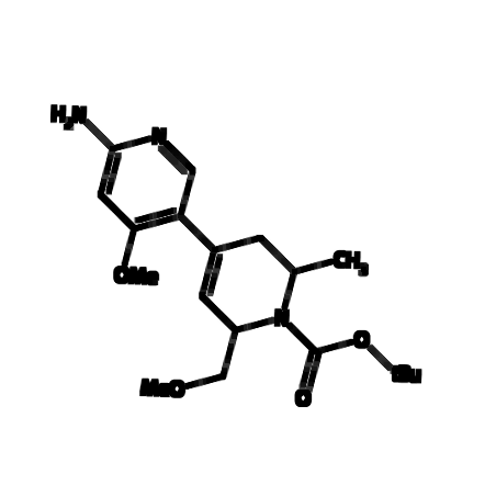 COCC1C=C(c2cnc(N)cc2OC)CC(C)N1C(=O)OC(C)(C)C